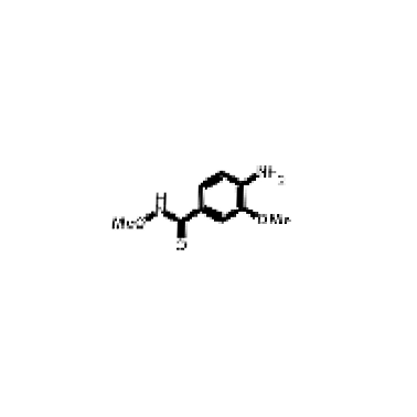 CONC(=O)c1ccc(N)c(OC)c1